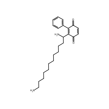 NCCCCCCCCCCCC(N)C1=C(c2ccccc2)C(=O)C=CC1=O